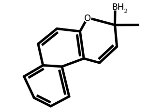 BC1(C)C=Cc2c(ccc3ccccc23)O1